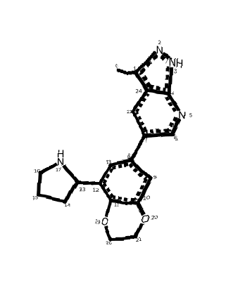 Cc1n[nH]c2ncc(-c3cc4c(c(C5CCCN5)c3)OCCO4)cc12